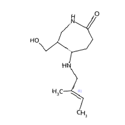 C/C=C(\C)CNC1CCC(=O)NCC1CO